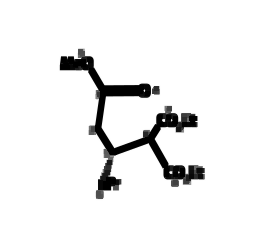 CCC[C@H](CC(=O)OC)C(C(=O)OCC)C(=O)OCC